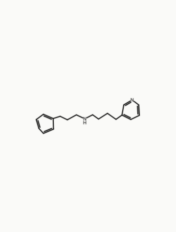 c1ccc(CCCNCCCCc2cccnc2)cc1